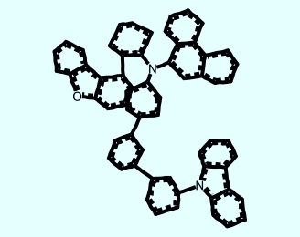 c1cc(-c2ccc(N(c3ccccc3-c3cccc4oc5ccccc5c34)c3cc4ccccc4c4ccccc34)cc2)cc(-c2cccc(-n3c4ccccc4c4ccccc43)c2)c1